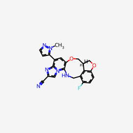 Cn1nccc1-c1cc2c(n3cc(C#N)nc13)NCc1c(F)ccc3c1[C@H](CO3)CO2